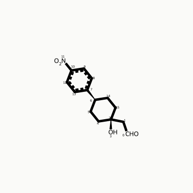 O=CC[C@]1(O)CC[C@@H](c2ccc([N+](=O)[O-])cc2)CC1